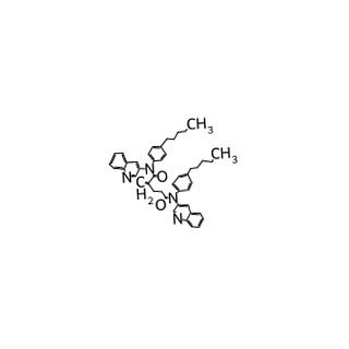 C=C(CCC(=O)N(c1ccc(CCCCC)cc1)c1cnc2ccccc2c1)C(=O)N(c1ccc(CCCCC)cc1)c1cnc2ccccc2c1